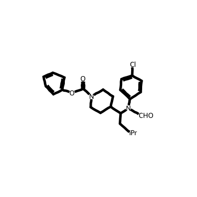 CC(C)CC(C1CCN(C(=O)Oc2ccccc2)CC1)N(C=O)c1ccc(Cl)cc1